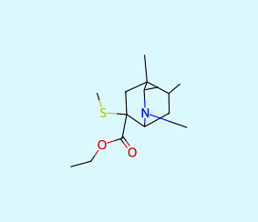 CCOC(=O)C1(SC)CC2(C)C(C)CC1N(C)C2C